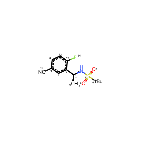 C[C@H](NS(=O)(=O)C(C)(C)C)c1cc(C#N)ccc1F